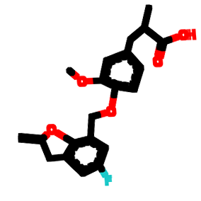 C=C1Cc2cc(F)cc(COc3ccc(CC(C)C(=O)O)cc3OC)c2O1